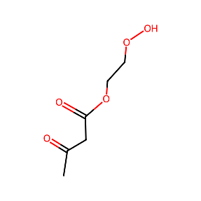 CC(=O)CC(=O)OCCOO